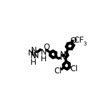 O=C(NCc1nn[nH]n1)c1ccc(Cn2nc(-c3ccc(OC(F)(F)F)cc3)cc2-c2cc(Cl)cc(Cl)c2)cc1